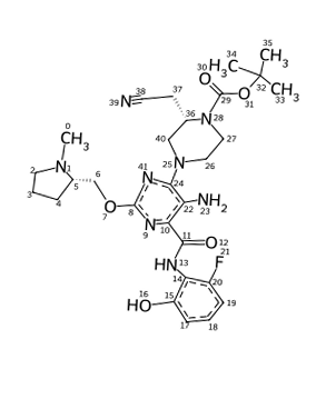 CN1CCC[C@H]1COc1nc(C(=O)Nc2c(O)cccc2F)c(N)c(N2CCN(C(=O)OC(C)(C)C)[C@@H](CC#N)C2)n1